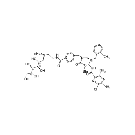 CCCCCCN(CCNC(=O)c1ccc(CN(C[C@H](CNC(=O)c2nc(Cl)c(N)nc2N)Cc2ccccc2C)C(=O)OC(C)(C)C)cc1)C[C@@H](O)[C@@H](O)[C@H](O)[C@H](O)CO